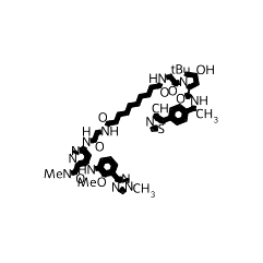 CNC(=O)c1nnc(NC(=O)CNC(=O)CCCCCCCCC(=O)N[C@H](C(=O)N2C[C@H](O)C[C@H]2C(=O)N[C@@H](C)c2ccc(-c3scnc3C)cc2)C(C)(C)C)cc1Nc1cccc(-c2ncn(C)n2)c1OC